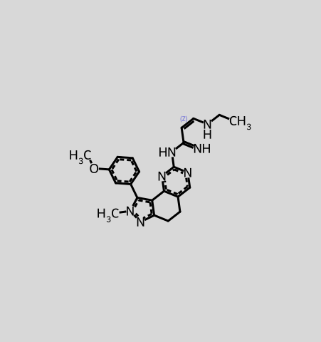 CCN/C=C\C(=N)Nc1ncc2c(n1)-c1c(nn(C)c1-c1cccc(OC)c1)CC2